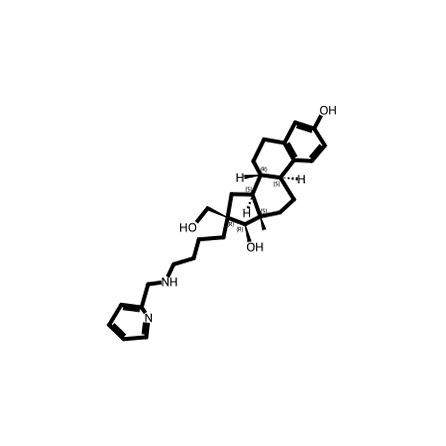 C[C@]12CC[C@@H]3c4ccc(O)cc4CC[C@H]3[C@@H]1C[C@@](CO)(CCCCNCc1ccccn1)[C@@H]2O